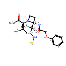 COC(=O)C(=C(C)OC)N1CC[C@@]1(NC(=O)COc1ccccc1)C(NNS)(C(=O)O)C(=O)O